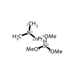 CCCN(C)C.CO[SiH](OC)OC